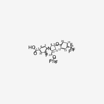 O=C(O)c1ccc(N2C[C@@H](Oc3ccc(C(F)(F)F)cc3)C[C@H]2COC(F)F)c(F)c1